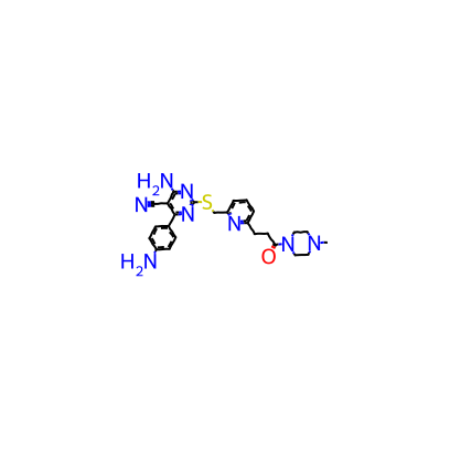 CN1CCN(C(=O)CCc2cccc(CSc3nc(N)c(C#N)c(-c4ccc(N)cc4)n3)n2)CC1